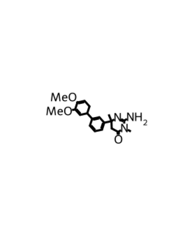 COC1=CCC(c2cccc(C3(C)CC(=O)N(C)C(N)=N3)c2)C=C1OC